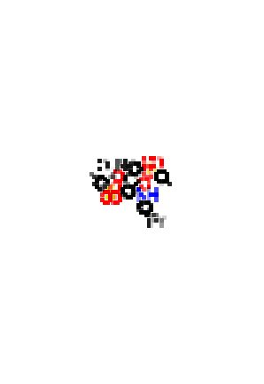 Cc1ccc(S(=O)(=O)Oc2ccc(Nc3ccc(C(C)C)cc3)c3c2C(=O)c2c([N+](=O)[O-])ccc(OS(=O)(=O)c4ccc(C)cc4)c2C3=O)cc1